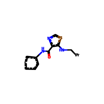 CC(C)CNc1scnc1C(=O)Nc1ccccc1